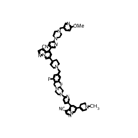 COc1ccc(CN2CCN(c3ccc(-c4cc(C5=CCN(Cc6cc(F)c(CN7CCN(c8ccc(-c9cc(C%10=CCN(C)CC%10)cn%10ncc(C#N)c9%10)cn8)CC7)c(F)c6)CC5)cn5ncc(C#N)c45)cn3)CC2)cn1